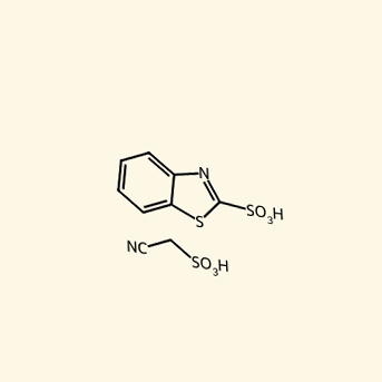 N#CCS(=O)(=O)O.O=S(=O)(O)c1nc2ccccc2s1